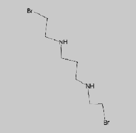 BrCCNCCCNCCBr